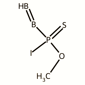 B=BP(=S)(I)OC